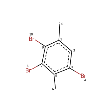 [CH2]c1cc(Br)c(C)c(Br)c1Br